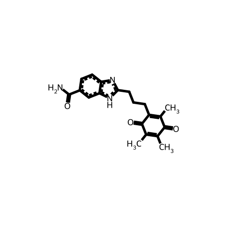 CC1=C(C)C(=O)C(CCCc2nc3ccc(C(N)=O)cc3[nH]2)=C(C)C1=O